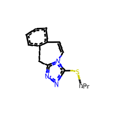 CCCSc1nnc2n1C=Cc1ccccc1C2